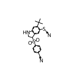 CC(C)(C)c1cc2c(cc1SC#N)C(S(=O)(=O)c1ccc(C#N)cc1)CN2